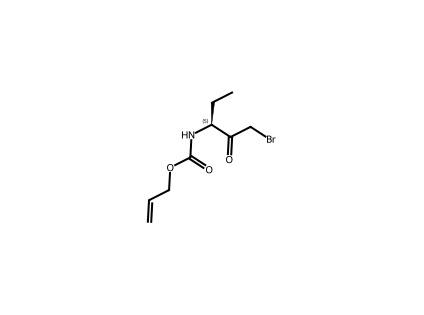 C=CCOC(=O)N[C@@H](CC)C(=O)CBr